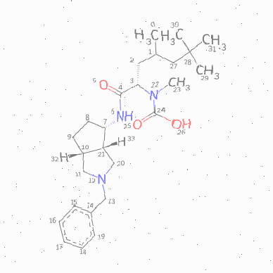 CC(C[C@@H](C(=O)N[C@H]1CC[C@H]2CN(Cc3ccccc3)C[C@H]21)N(C)C(=O)O)CC(C)(C)C